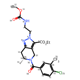 CCOC(=O)c1c2c(nn1CCNC(=O)OC(C)(C)C)C[C@@H](C)N(C(=O)c1ccc(Cl)c(C(F)(F)F)c1)C2